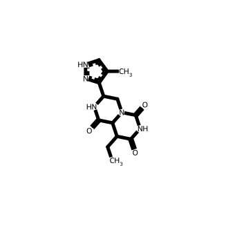 CCC1C(=O)NC(=O)N2CC(c3n[nH]cc3C)NC(=O)C12